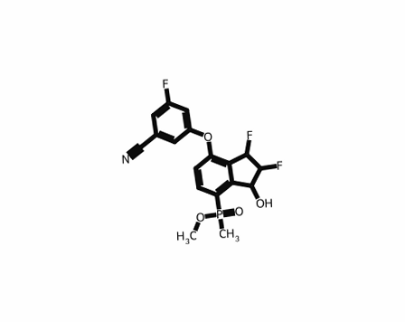 COP(C)(=O)c1ccc(Oc2cc(F)cc(C#N)c2)c2c1C(O)C(F)C2F